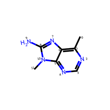 Cc1ncnc2c1nc(N)n2C